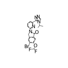 CC(C)n1cnnc1-c1cccc(N2Cc3cc(Br)c(OC(F)F)cc3C2=O)n1